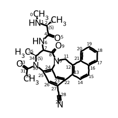 CN[C@@H](C)C(=O)NC1C(=O)N2Cc3c(ccc4ccccc34)-c3cc2c(cc3C#N)N(C(C)=O)[C@H]1C